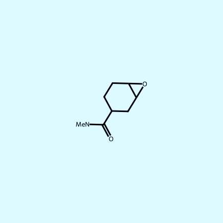 CNC(=O)C1CCC2OC2C1